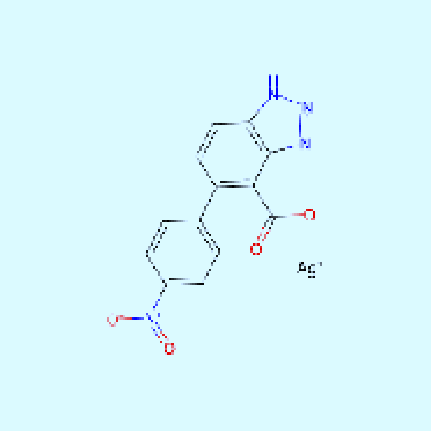 O=C([O-])c1c(-c2ccc([N+](=O)[O-])cc2)ccc2[nH]nnc12.[Ag+]